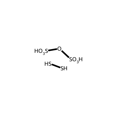 O=S(=O)(O)OS(=O)(=O)O.SS